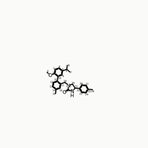 COc1ccc(C(C)C)cc1-c1ccc(C)cc1CN1CC(c2ccc(C)cc2)NC1=O